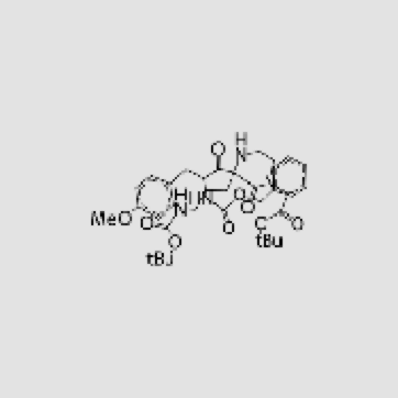 COc1ccc(CC(NC(=O)OCc2ccccc2)C(=O)C2(CCCNC(=O)OC(C)(C)C)NCCN(CC(=O)OC(C)(C)C)C2=O)cc1